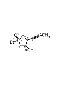 CC#CC1OP(=O)(CC)CC1C